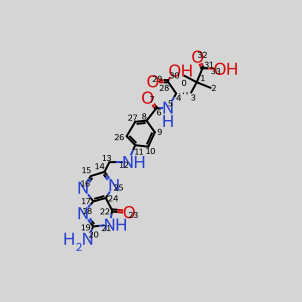 CC(C)(C[C@H](NC(=O)c1ccc(NCc2cnc3nc(N)[nH]c(=O)c3n2)cc1)C(=O)O)C(=O)O